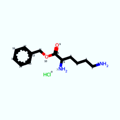 Cl.NCCCCC(N)C(=O)OCc1ccccc1